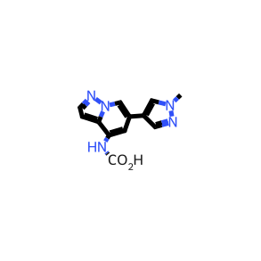 Cn1cc(-c2cc(NC(=O)O)c3ccnn3c2)cn1